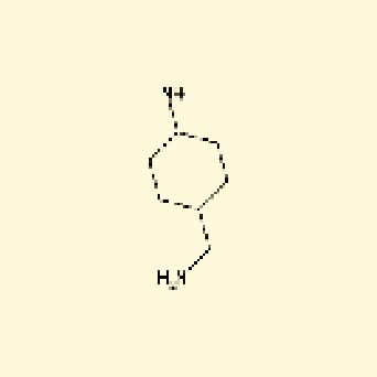 [NH]C1CCC(CN)CC1